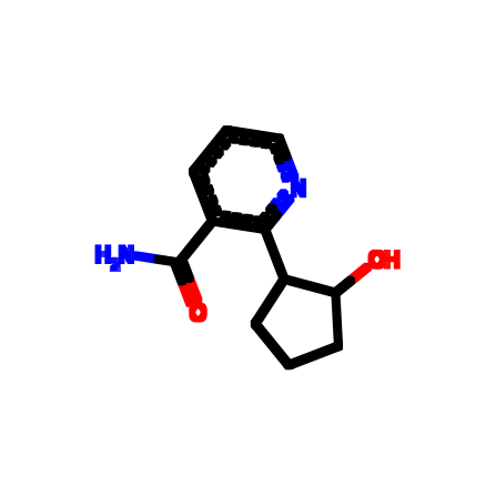 NC(=O)c1cccnc1C1CCCC1O